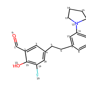 O=Cc1cc(CCc2cccc(N3CCCC3)c2)cc(F)c1O